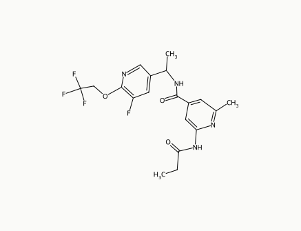 CCC(=O)Nc1cc(C(=O)NC(C)c2cnc(OCC(F)(F)F)c(F)c2)cc(C)n1